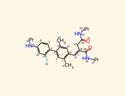 Cc1cc(-c2ccc(NC(C)C)cc2F)c(C)cc1/C=C(\CC(=O)NC(C)C)C(=O)NC(C)C